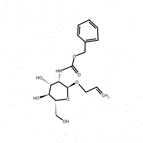 C=CCO[C@H]1O[C@H](CO)[C@@H](O)[C@H](O)[C@@H]1NC(=O)OCc1ccccc1